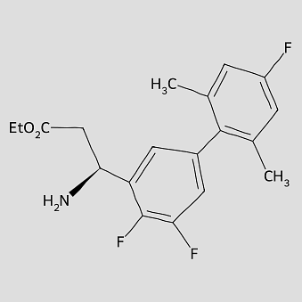 CCOC(=O)C[C@H](N)c1cc(-c2c(C)cc(F)cc2C)cc(F)c1F